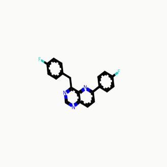 Fc1ccc(Cc2ncnc3ccc(-c4ccc(F)cc4)nc23)cc1